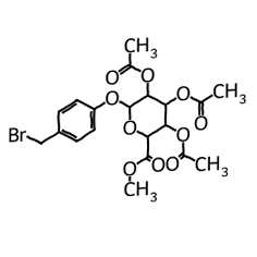 COC(=O)C1OC(Oc2ccc(CBr)cc2)C(OC(C)=O)C(OC(C)=O)C1OC(C)=O